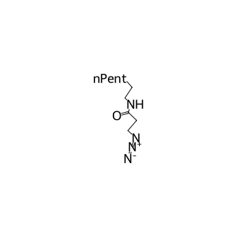 CCCCCCCNC(=O)CCN=[N+]=[N-]